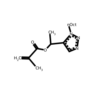 C=C(C)C(=O)OC(C)c1cnnn1CCCCCCCC